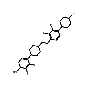 CCCC1CC=C(C2CCC(CCc3ccc(C4CCC(CC)CC4)c(F)c3F)CC2)C(F)=C1F